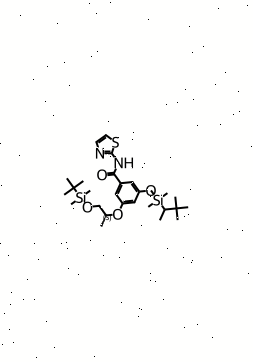 CC(C(C)(C)C)[Si](C)(C)Oc1cc(O[C@@H](C)CO[Si](C)(C)C(C)(C)C)cc(C(=O)Nc2nccs2)c1